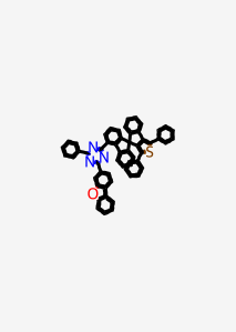 c1ccc(-c2nc(-c3ccc4c(c3)oc3ccccc34)nc(-c3cccc4c3-c3ccccc3C43c4ccccc4-c4c(-c5ccccc5)sc(-c5ccccc5)c43)n2)cc1